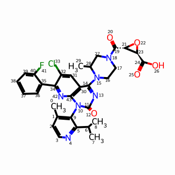 Cc1ccnc(C(C)C)c1-n1c(=O)nc(N2CCN(C(=O)[C@@H]3O[C@H]3C(=O)O)CC2C)c2cc(Cl)c(-c3ccccc3F)nc21